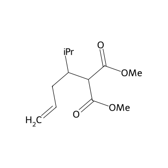 C=CCC(C(C)C)C(C(=O)OC)C(=O)OC